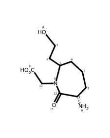 N[C@H]1CCCC(CCO)N(CC(=O)O)C1=O